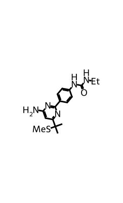 CCNC(=O)Nc1ccc(-c2nc(N)cc(C(C)(C)SC)n2)cc1